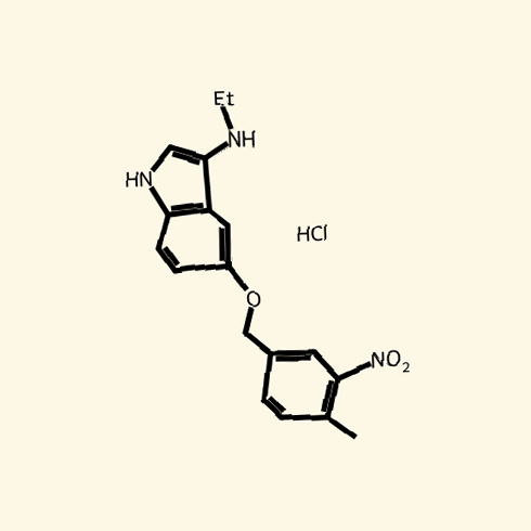 CCNc1c[nH]c2ccc(OCc3ccc(C)c([N+](=O)[O-])c3)cc12.Cl